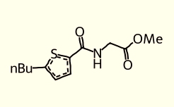 CCCCc1ccc(C(=O)NCC(=O)OC)s1